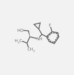 CC(C)[C@@H](CO)NC(c1ccccc1F)C1CC1